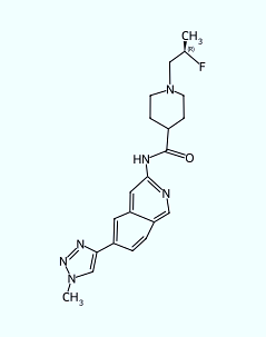 C[C@@H](F)CN1CCC(C(=O)Nc2cc3cc(-c4cn(C)nn4)ccc3cn2)CC1